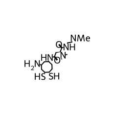 CNCCNC(=O)[C@H](CC(=O)NC1CCC(S)C(S)CC(N)C1)N(C)C